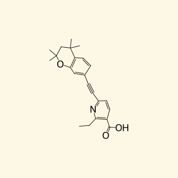 CCc1nc(C#Cc2ccc3c(c2)OC(C)(C)CC3(C)C)ccc1C(=O)O